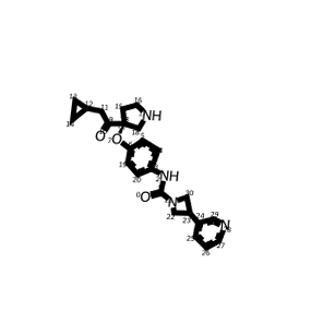 O=C(Nc1ccc(O[C@@]2(C(=O)CC3CC3)CCNC2)cc1)N1CC(c2cccnc2)C1